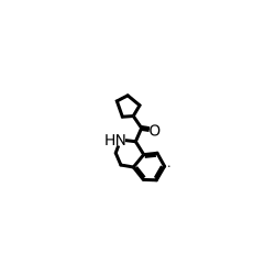 O=C(C1CCCC1)C1NCCc2cc[c]cc21